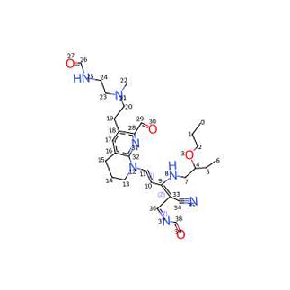 CCCOC(CC)CNC(/C=C/N1CCCc2cc(CCN(C)CCNC=O)c(C=O)nc21)=C(C#N)/C=N\C=O